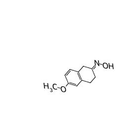 COc1ccc2c(c1)CCC(=NO)C2